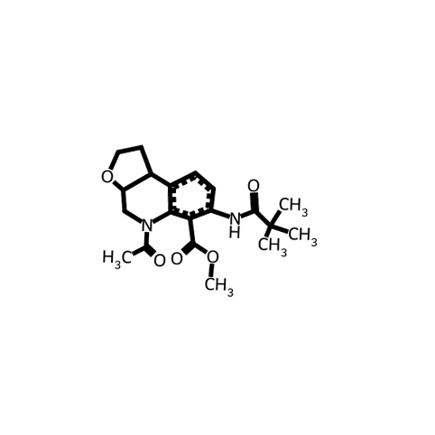 COC(=O)c1c(NC(=O)C(C)(C)C)ccc2c1N(C(C)=O)CC1OCCC21